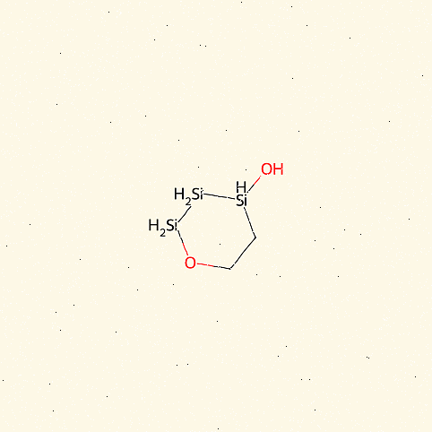 O[SiH]1CCO[SiH2][SiH2]1